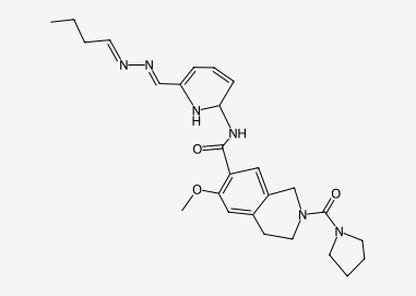 CCC/C=N/N=C/C1=CC=CC(NC(=O)c2cc3c(cc2OC)CCN(C(=O)N2CCCC2)C3)N1